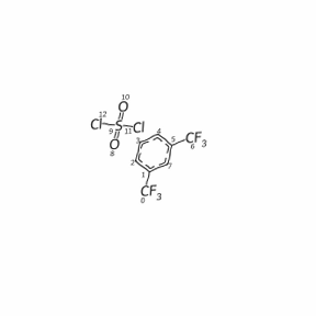 FC(F)(F)c1cccc(C(F)(F)F)c1.O=S(=O)(Cl)Cl